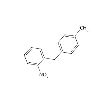 Cc1ccc(Cc2ccccc2[N+](=O)[O-])cc1